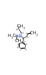 C=CCC(c1ccccc1)N(CCC)C(C)C